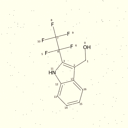 OCc1c(C(F)(F)C(F)(F)F)[nH]c2ccccc12